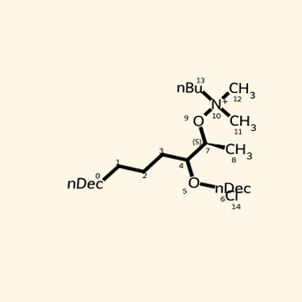 CCCCCCCCCCCCCC(OCCCCCCCCCC)[C@H](C)O[N+](C)(C)CCCC.[Cl-]